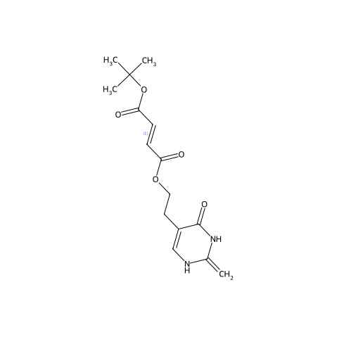 C=C1NC=C(CCOC(=O)/C=C/C(=O)OC(C)(C)C)C(=O)N1